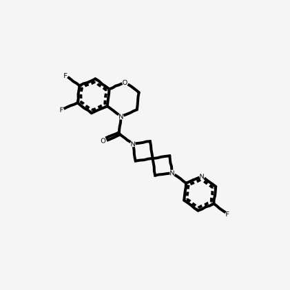 O=C(N1CC2(C1)CN(c1ccc(F)cn1)C2)N1CCOc2cc(F)c(F)cc21